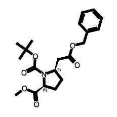 COC(=O)[C@@H]1CC[C@H](CC(=O)OCc2ccccc2)N1C(=O)OC(C)(C)C